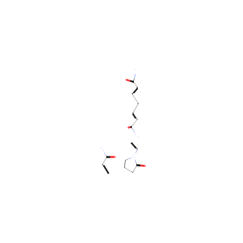 C=CC(N)=O.C=CN1CCCC1=O.NC(=O)C=CCC=CC(N)=O